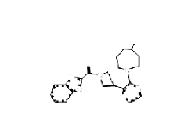 O=C(c1nc2ccccc2[nH]1)N1CC(c2nccnc2N2CCCC(O)CC2)C1